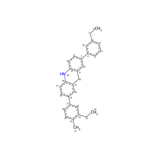 CCc1cccc(-c2ccc3c(c2)Cc2cc(-c4ccc(C)c(CC)c4)ccc2N3)c1